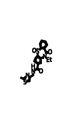 CCN1C(=O)c2ccccc2[S+]([O-])c2ccc(C(=O)NCc3csc(C)n3)cc21